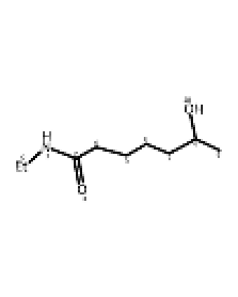 CCNC(=O)CCCCC(C)O